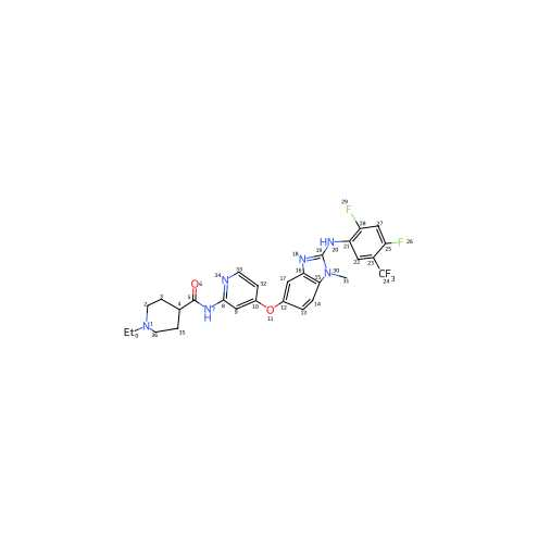 CCN1CCC(C(=O)Nc2cc(Oc3ccc4c(c3)nc(Nc3cc(C(F)(F)F)c(F)cc3F)n4C)ccn2)CC1